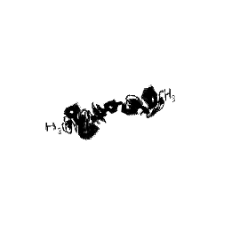 COO/C=N\[C@@H](C(=O)N1CCC[C@H]1Cc1ccc(-c2cnc3[nH]c([C@@H]4CCCN4C(=O)[C@H](NC(=O)OC)c4ccccc4)nc3c2)cc1)c1ccccc1